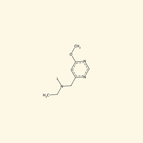 CCN(I)Cc1cc(OC)ncn1